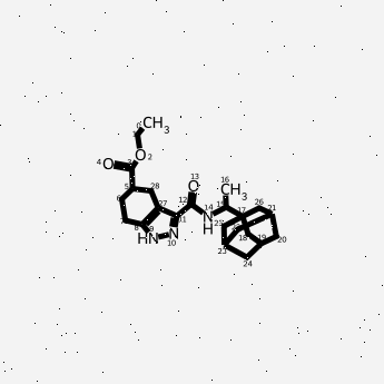 CCOC(=O)C1CCc2[nH]nc(C(=O)NC(C)C34CC5CC(CC(C5)C3)C4)c2C1